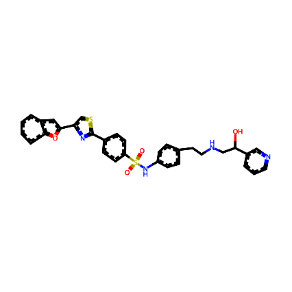 O=S(=O)(Nc1ccc(CCNCC(O)c2cccnc2)cc1)c1ccc(-c2nc(-c3cc4ccccc4o3)cs2)cc1